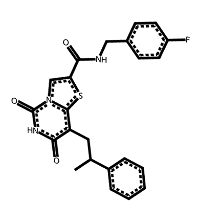 CC(Cc1c(=O)[nH]c(=O)n2cc(C(=O)NCc3ccc(F)cc3)sc12)c1ccccc1